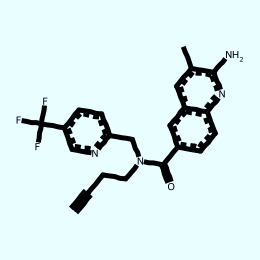 C#CCCN(Cc1ccc(C(F)(F)F)cn1)C(=O)c1ccc2nc(N)c(C)cc2c1